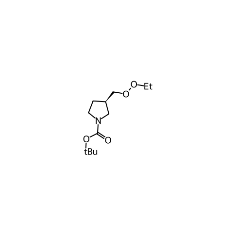 CCOOC[C@@H]1CCN(C(=O)OC(C)(C)C)C1